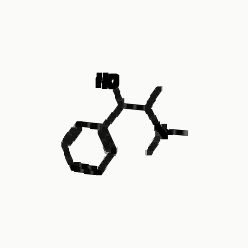 CC([C](O)c1ccccc1)N(C)C